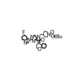 CC(C)(C)OC(=O)N1CCC(Cn2c(=O)n([C@@H]3CCOc4ccccc43)c3nc(-n4cnc5ccc(F)cc54)ncc32)CC1